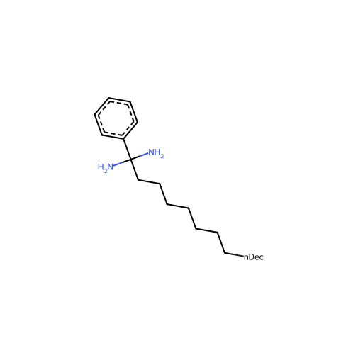 CCCCCCCCCCCCCCCCCC(N)(N)c1ccccc1